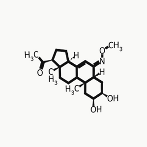 CO/N=C1\C=C2C(CC[C@]3(C)[C@@H](C(C)=O)CC[C@@H]23)[C@@]2(C)C[C@H](O)[C@H](O)C[C@@H]12